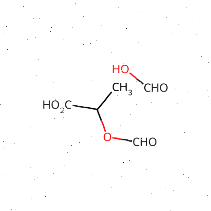 CC(OC=O)C(=O)O.O=CO